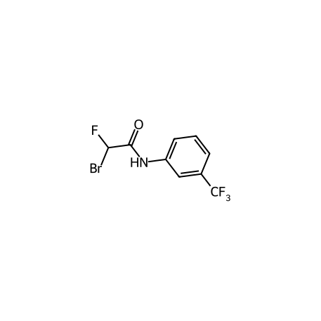 O=C(Nc1cccc(C(F)(F)F)c1)C(F)Br